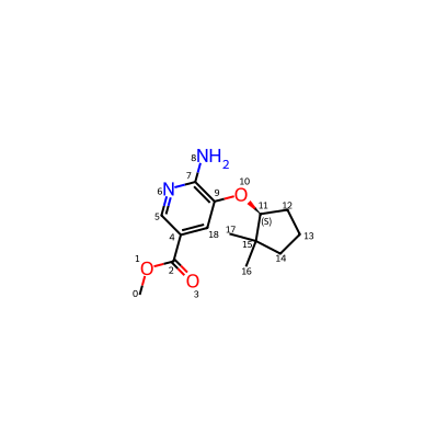 COC(=O)c1cnc(N)c(O[C@H]2CCCC2(C)C)c1